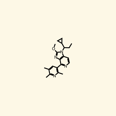 CCC(C1CC1)n1c(OC)nc2c(-c3cc(C)c(C)nc3C)nccc21